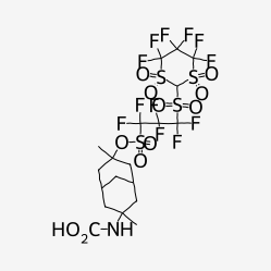 CC1(NC(=O)O)CC2CC(C1)CC(C)(OS(=O)(=O)C(F)(F)C(F)(F)C(F)(F)S(=O)(=O)C1S(=O)(=O)C(F)(F)C(F)(F)C(F)(F)S1(=O)=O)C2